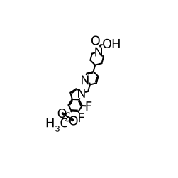 CS(=O)(=O)c1cc2ccn(Cc3ccc(C4CCN(C(=O)O)CC4)cn3)c2c(F)c1F